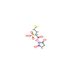 O=C(ON1C(=O)CCC1=O)C(CCS)S(=O)(=O)O